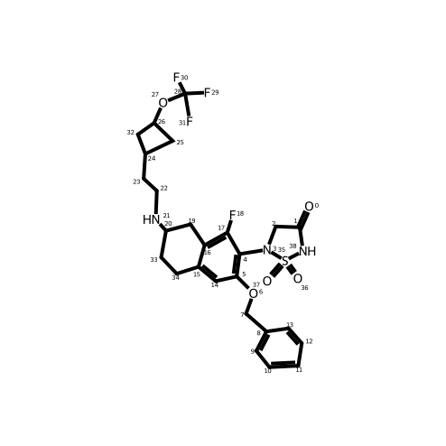 O=C1CN(c2c(OCc3ccccc3)cc3c(c2F)CC(NCCC2CC(OC(F)(F)F)C2)CC3)S(=O)(=O)N1